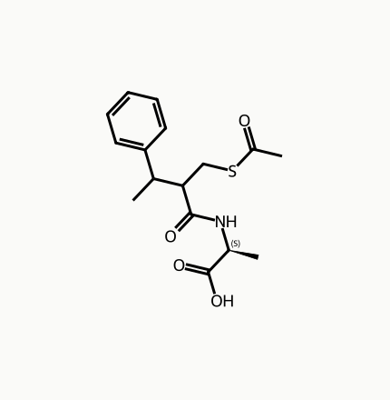 CC(=O)SCC(C(=O)N[C@@H](C)C(=O)O)C(C)c1ccccc1